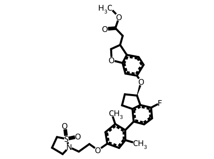 COC(=O)CC1COc2cc(O[C@@H]3CCc4c(-c5c(C)cc(OCCN6CCCS6(=O)=O)cc5C)ccc(F)c43)ccc21